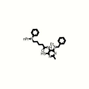 CCCN(CCCCC(=O)Nc1c(S)nc(C)nc1N(CC)Cc1ccccc1)c1ccccc1